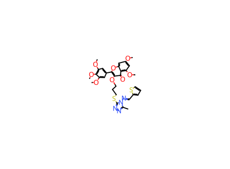 COc1cc(OC)c2c(=O)c(OCCCSc3nnc(C)n3N=Cc3cccs3)c(-c3cc(OC)c(OC)c(OC)c3)oc2c1